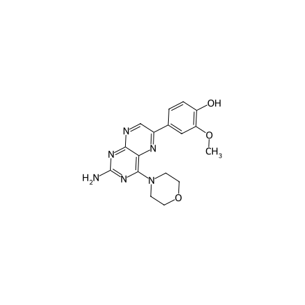 COc1cc(-c2cnc3nc(N)nc(N4CCOCC4)c3n2)ccc1O